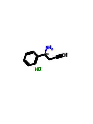 C#CC[C@@H](N)c1ccccc1.Cl